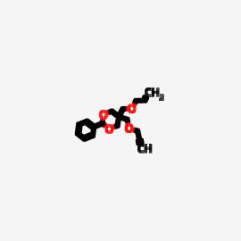 C#CCOCC1(COCC=C)COC(c2ccccc2)OC1